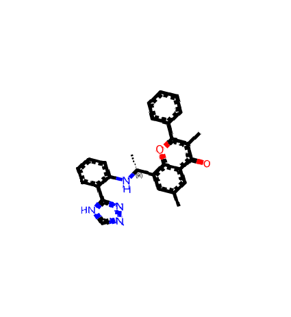 Cc1cc([C@@H](C)Nc2ccccc2-c2nnc[nH]2)c2oc(-c3ccccc3)c(C)c(=O)c2c1